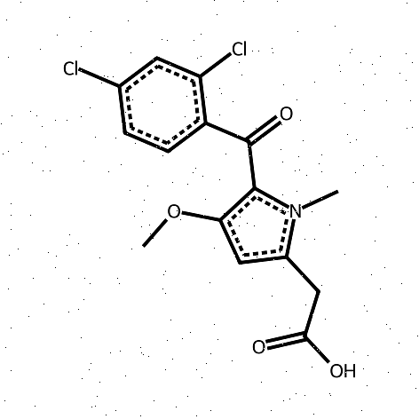 COc1cc(CC(=O)O)n(C)c1C(=O)c1ccc(Cl)cc1Cl